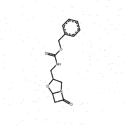 O=C(NCC1CN2C(=O)CC2O1)OCc1ccccc1